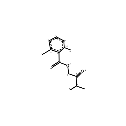 C=C(OCC(=O)C(C)C)c1c(C)cccc1C